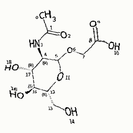 CC(=O)N[C@H]1C(OCC(=O)O)O[C@H](CO)[C@@H](O)[C@@H]1O